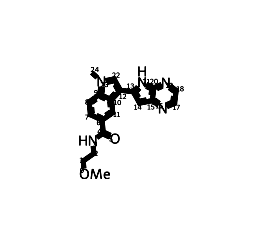 COCCNC(=O)c1ccc2c(c1)c(-c1cc3nccnc3[nH]1)cn2C